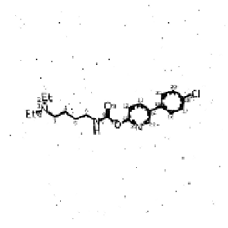 CCN(CC)CCCCNC(=O)Oc1ccc(-c2ccc(Cl)cc2)cn1